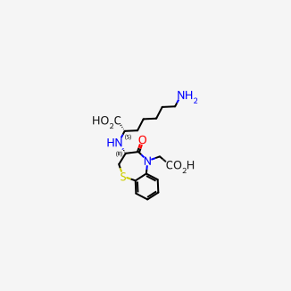 NCCCCC[C@H](N[C@H]1CSc2ccccc2N(CC(=O)O)C1=O)C(=O)O